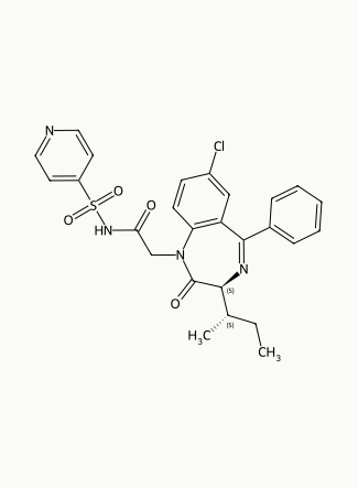 CC[C@H](C)[C@@H]1N=C(c2ccccc2)c2cc(Cl)ccc2N(CC(=O)NS(=O)(=O)c2ccncc2)C1=O